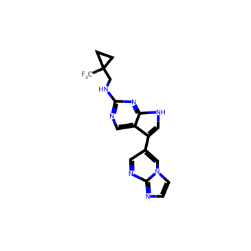 FC(F)(F)C1(CNc2ncc3c(-c4cnc5nccn5c4)c[nH]c3n2)CC1